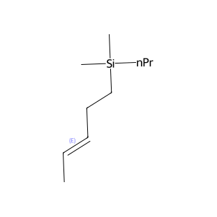 C/C=C/CC[Si](C)(C)CCC